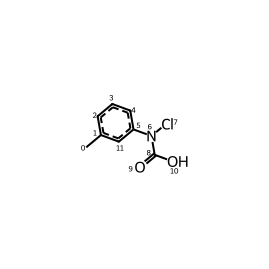 Cc1cccc(N(Cl)C(=O)O)c1